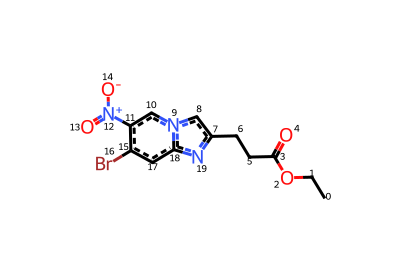 CCOC(=O)CCc1cn2cc([N+](=O)[O-])c(Br)cc2n1